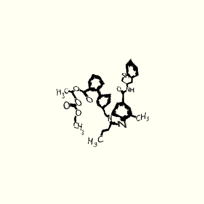 CCCc1nc2c(C)cc(C(=O)N[C@@H](CS)Cc3ccccc3)cc2n1Cc1ccc(-c2ccccc2C(=O)OC(C)OC(=O)OCC)cc1